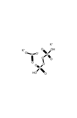 O=S(=O)(O)OOS(=O)(=O)O.O=S([O-])[O-].[K+].[K+]